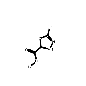 CCOC(=O)C1NN=C(Cl)S1